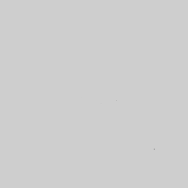 C=C(C)C(=O)Oc1cc(-c2ccc(C3CCC(C)CC3)cc2C)cc(-c2cccc(CCCO)c2)c1CCCCCO